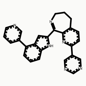 c1cncc(-c2cccc3[nH]c(C4=NCCCc5ccc(-c6cncnc6)nc54)cc23)c1